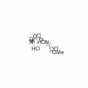 COc1c(C)cc(C2CCN(C[C@H](O)COc3cccc4oc(-c5nnc(C)o5)cc34)CC2)cc1Cl.Cl